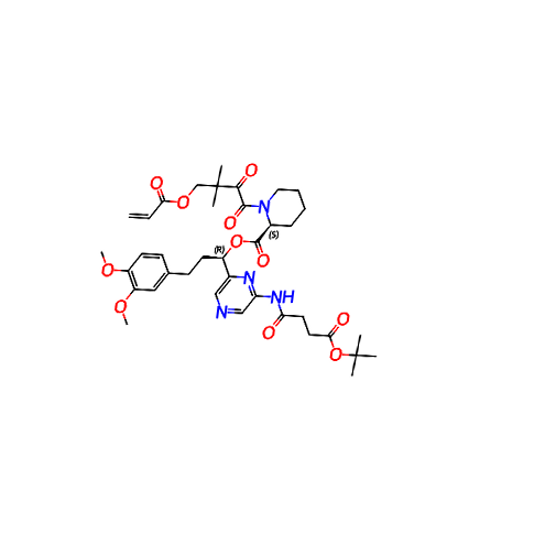 C=CC(=O)OCC(C)(C)C(=O)C(=O)N1CCCC[C@H]1C(=O)O[C@H](CCc1ccc(OC)c(OC)c1)c1cncc(NC(=O)CCC(=O)OC(C)(C)C)n1